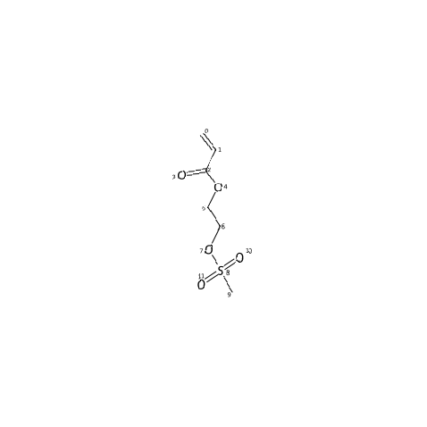 C=CC(=O)OCCOS(C)(=O)=O